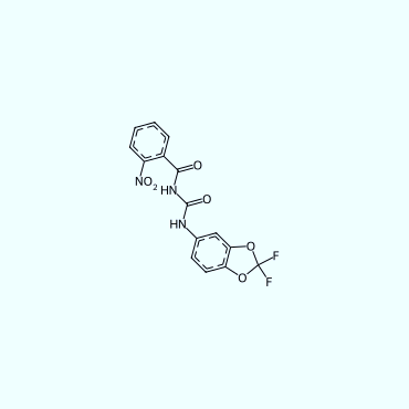 O=C(NC(=O)c1ccccc1[N+](=O)[O-])Nc1ccc2c(c1)OC(F)(F)O2